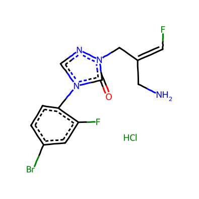 Cl.NC/C(=C/F)Cn1ncn(-c2ccc(Br)cc2F)c1=O